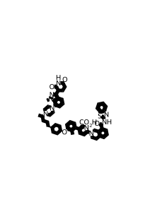 Cc1c(O[C@H]2CC[C@H](CCCC(C)N3CCN(c4cccc5c(C6CCC(=O)NC6=O)nn(C)c45)CC3)CC2)cccc1-c1ccc(N2CCc3cccc(C(=O)Nc4nc5ccccc5s4)c3C2)nc1C(=O)O